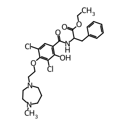 CCOC(=O)C(Cc1ccccc1)NC(=O)c1cc(Cl)c(OCCN2CCCN(C)CC2)c(Cl)c1O